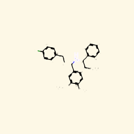 C=C(NC)[C@H](N[C@@H](CCc1ccc(F)cc1)c1ccc(OC)c(OC)c1)c1ccccc1